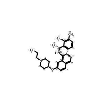 CCCN1CCC(Oc2ccc3cnnc(N[C@H](C)c4cccc(C)c4C)c3c2)CC1